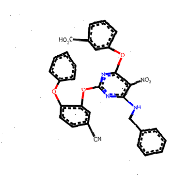 N#Cc1ccc(Oc2ccccc2)c(Oc2nc(NCc3ccccc3)c([N+](=O)[O-])c(Oc3cccc(C(=O)O)c3)n2)c1